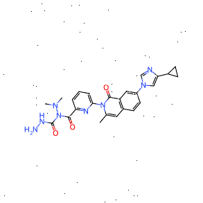 Cc1cc2ccc(-n3cnc(C4CC4)c3)cc2c(=O)n1-c1cccc(C(=O)N(C(=O)NN)N(C)C)n1